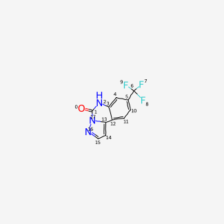 O=c1[nH]c2cc(C(F)(F)F)ccc2c2ccnn12